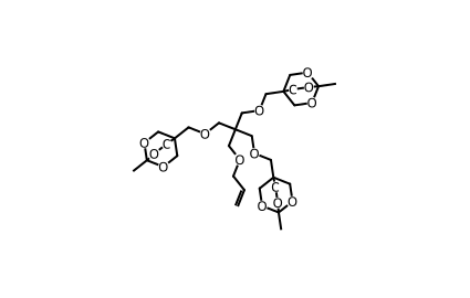 C=CCOCC(COCC12COC(C)(OC1)OC2)(COCC12COC(C)(OC1)OC2)COCC12COC(C)(OC1)OC2